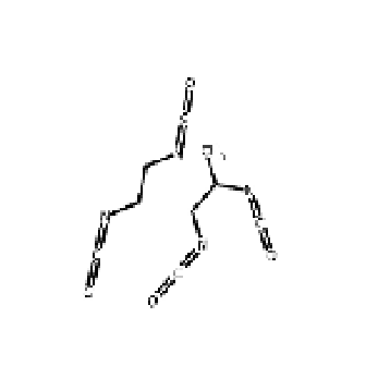 CC(CN=C=O)N=C=O.O=C=NCCN=C=O